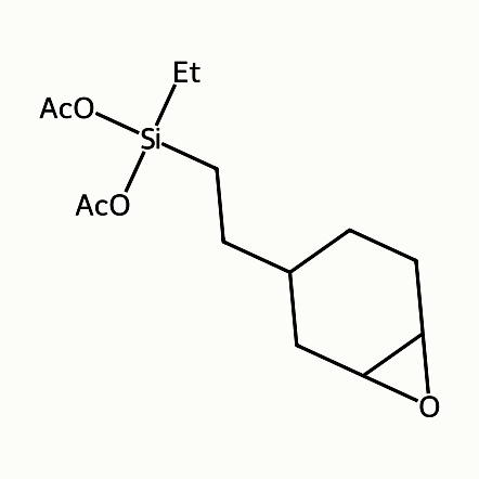 CC[Si](CCC1CCC2OC2C1)(OC(C)=O)OC(C)=O